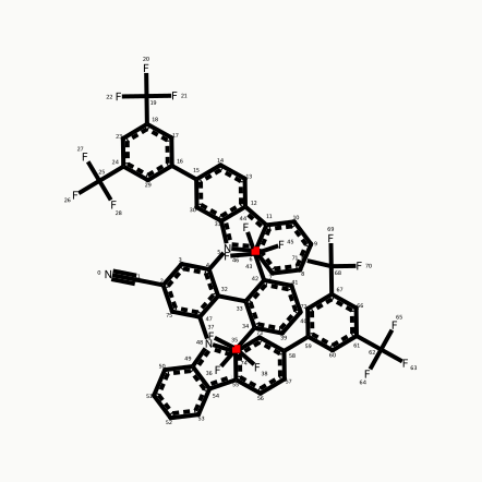 N#Cc1cc(-n2c3ccccc3c3ccc(-c4cc(C(F)(F)F)cc(C(F)(F)F)c4)cc32)c(-c2c(C(F)(F)F)cccc2C(F)(F)F)c(-n2c3ccccc3c3ccc(-c4cc(C(F)(F)F)cc(C(F)(F)F)c4)cc32)c1